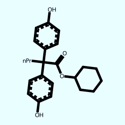 CCCC(C(=O)OC1CCCCC1)(c1ccc(O)cc1)c1ccc(O)cc1